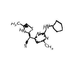 CC1=CS/C(=C(/C#N)c2cc(C)nc(NC3CCCC3)n2)N1